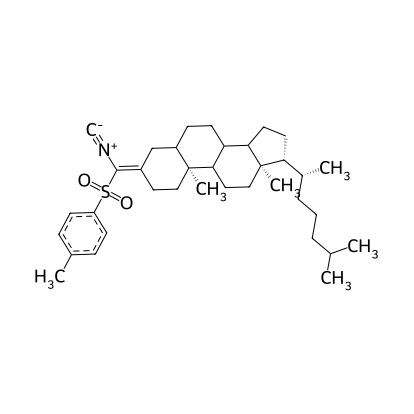 [C-]#[N+]C(=C1CC[C@@]2(C)C(CCC3C2CC[C@@]2(C)C3CC[C@@H]2[C@H](C)CCCC(C)C)C1)S(=O)(=O)c1ccc(C)cc1